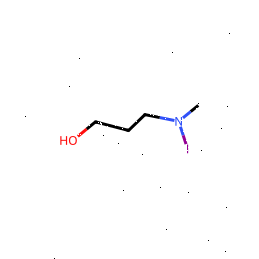 CN(I)CCCO